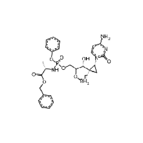 BOC(COP(=O)(N[C@@H](C)C(=O)OCc1ccccc1)Oc1ccccc1)[C@H](O)[C@]1(F)C[C@H]1n1ccc(N)nc1=O